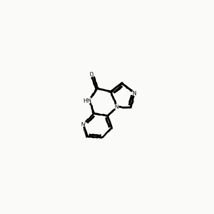 O=c1[nH]c2ncccc2n2cncc12